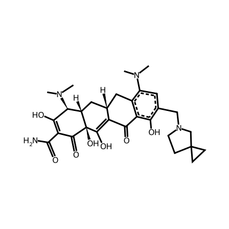 CN(C)c1cc(CN2CCC3(CC3)C2)c(O)c2c1C[C@H]1C[C@H]3[C@H](N(C)C)C(O)=C(C(N)=O)C(=O)[C@@]3(O)C(O)=C1C2=O